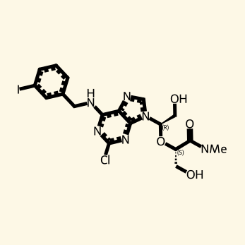 CNC(=O)[C@H](CO)O[C@H](CO)n1cnc2c(NCc3cccc(I)c3)nc(Cl)nc21